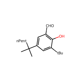 CCCCCC(C)(C)c1cc(C=O)c(O)c(C(C)(C)C)c1